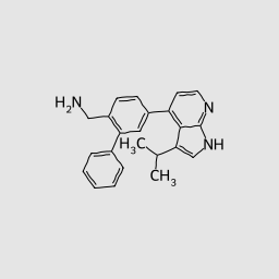 CC(C)c1c[nH]c2nccc(-c3ccc(CN)c(-c4ccccc4)c3)c12